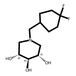 O[C@H]1[C@H](O)CN(CC2CCC(F)(F)CC2)C[C@@H]1O